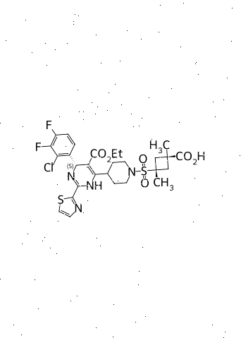 CCOC(=O)C1=C(C2CCN(S(=O)(=O)[C@]3(C)C[C@@](C)(C(=O)O)C3)CC2)NC(c2nccs2)=N[C@@H]1c1ccc(F)c(F)c1Cl